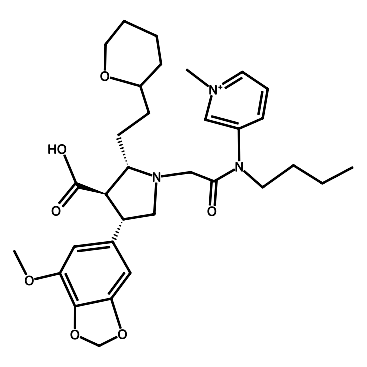 CCCCN(C(=O)CN1C[C@H](c2cc(OC)c3c(c2)OCO3)[C@@H](C(=O)O)[C@@H]1CCC1CCCCO1)c1ccc[n+](C)c1